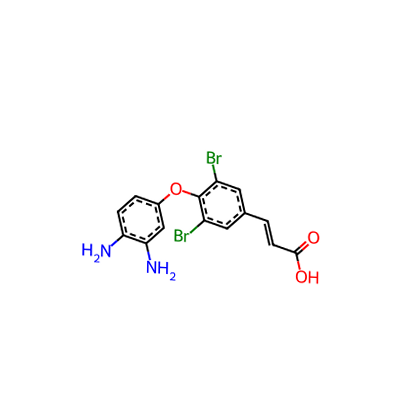 Nc1ccc(Oc2c(Br)cc(C=CC(=O)O)cc2Br)cc1N